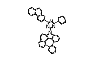 c1ccc(-c2nc(-c3ccc4c(ccc5ccccc54)c3)nc(-n3c4cccc5c4c4c6c(cccc6ccc43)-c3ccccc3-5)n2)cc1